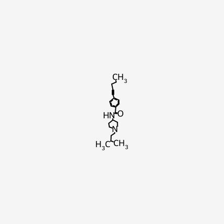 CCCC#Cc1ccc(C(=O)NC2CCN(CCC(C)C)CC2)cc1